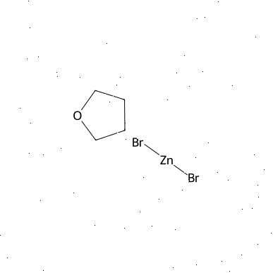 C1CCOC1.[Br][Zn][Br]